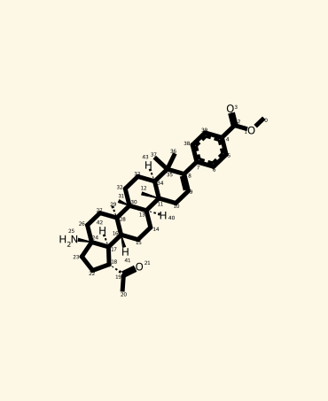 COC(=O)c1ccc(C2=CC[C@]3(C)[C@H]4CC[C@@H]5[C@H]6[C@H](C(C)=O)CC[C@]6(N)CC[C@@]5(C)[C@]4(C)CC[C@H]3C2(C)C)cc1